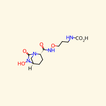 O=C(O)NCCCONC(=O)[C@@H]1CC[C@@H]2CN1C(=O)N2O